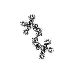 O=C(OCCOC(=O)c1cccc(OC(=O)c2cc(OCc3ccccc3)c(OCc3ccccc3)c(OCc3ccccc3)c2)c1)c1cccc(OC(=O)c2cc(OCc3ccccc3)c(OCc3ccccc3)c(OCc3ccccc3)c2)c1